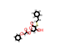 O=C(COc1ccccc1)Oc1cc(O)c(SCCc2ccccc2)c(=O)o1